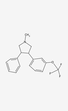 CN1CC(c2ccccc2)C(c2cccc(OC(F)(F)F)c2)C1